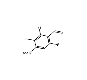 C=Cc1c(F)cc(OC)c(F)c1Cl